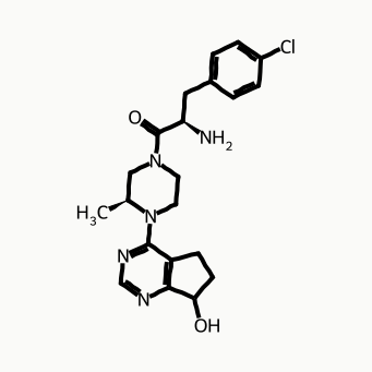 C[C@H]1CN(C(=O)[C@H](N)Cc2ccc(Cl)cc2)CCN1c1ncnc2c1CCC2O